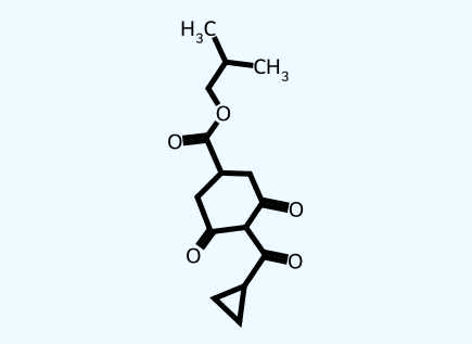 CC(C)COC(=O)C1CC(=O)C(C(=O)C2CC2)C(=O)C1